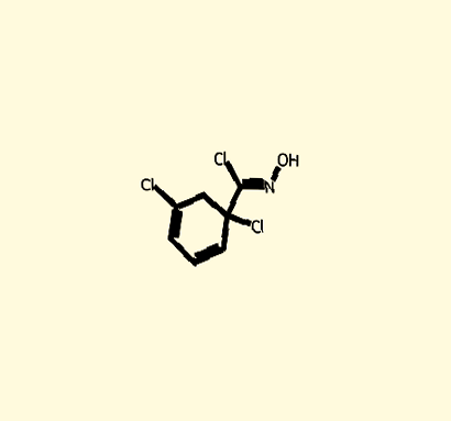 ON=C(Cl)C1(Cl)C=CC=C(Cl)C1